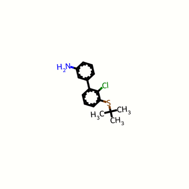 CC(C)(C)Sc1cccc(-c2cccc(N)c2)c1Cl